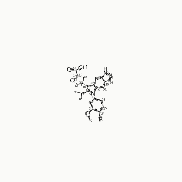 COc1cc(-n2c(C(C)C)c([C@@H]3CO[C@@H](C(=O)O)C3)c3nc4[nH]ncc4cc32)ccc1F